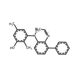 C/C=N\c1c(-c2ccccc2)cccc1N(C)c1cc(C)cc(O)c1C